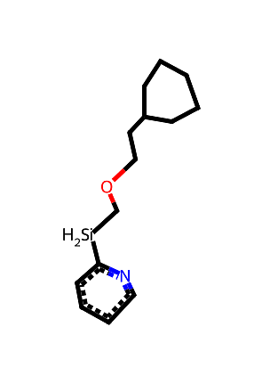 c1ccc([SiH2]COCCC2CCCCC2)nc1